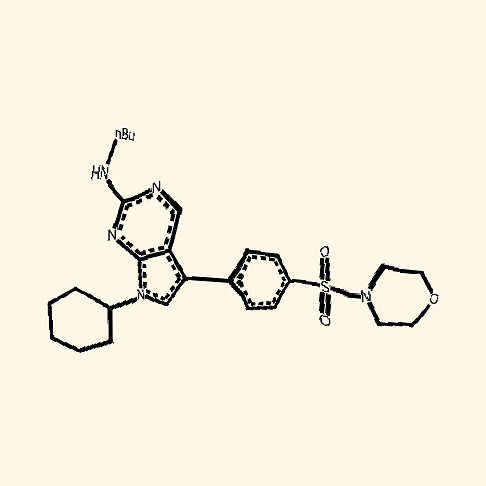 CCCCNc1ncc2c(-c3ccc(S(=O)(=O)N4CCOCC4)cc3)cn(C3CCCCC3)c2n1